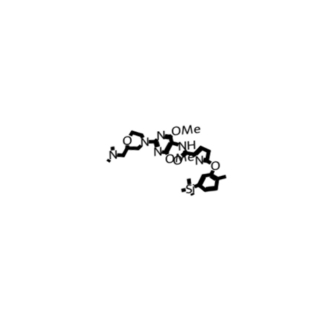 COc1nc(N2CCOC(CN(C)C)C2)nc(OC)c1NC(=O)C1=CCC(Oc2cc([Si](C)(C)C)ccc2C)=N1